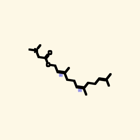 CC(C)=CCC/C(C)=C\CC/C(C)=C/COC(=O)CN(C)C